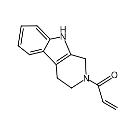 C=CC(=O)N1CCc2c([nH]c3ccccc23)C1